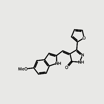 COc1ccc2[nH]c(C=C3C(=O)NN=C3c3ccco3)cc2c1